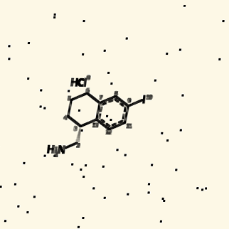 Cl.NC[C@@H]1CCCc2cc(I)ccc21